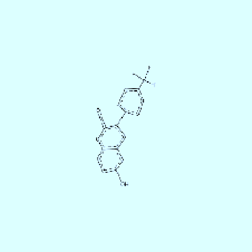 O=c1oc2ccc(O)cc2cc1-c1ccc(C(F)(F)F)cc1